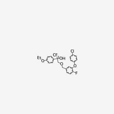 CCOc1ccc(C(O)(COCc2ccc(F)c(Oc3ccc(Cl)cc3)c2)C(F)(F)F)cc1